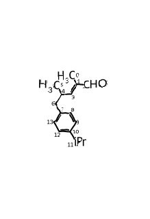 CC(C=O)=CC(C)Cc1ccc(C(C)C)cc1